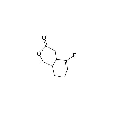 O=C1CC2C(F)=CCCC2[CH]O1